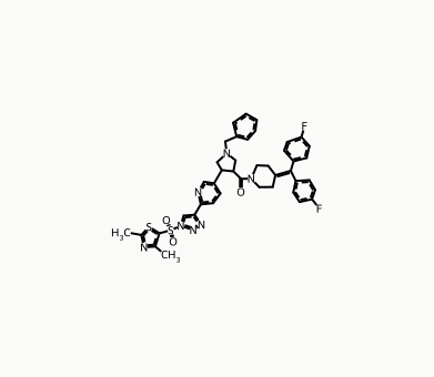 Cc1nc(C)c(S(=O)(=O)n2cc(-c3ccc(C4CN(Cc5ccccc5)CC4C(=O)N4CCC(=C(c5ccc(F)cc5)c5ccc(F)cc5)CC4)cn3)nn2)s1